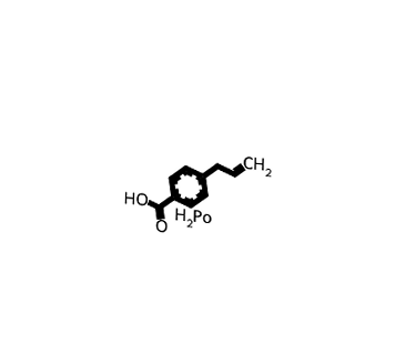 C=CCc1ccc(C(=O)O)cc1.[PoH2]